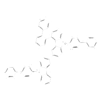 c1ccc(-c2ccc(-n3c4ccccc4c4cc(-c5ccc6c(c5)c5c(-c7ccccc7-c7ccccc7)cccc5n6-c5ccc(-c6ccccc6)cc5)ccc43)cc2)cc1